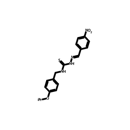 CC(C)Oc1ccc(CNC(=S)N/N=C/c2ccc([N+](=O)[O-])cc2)cc1